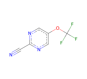 N#Cc1ncc(OC(F)(F)F)cn1